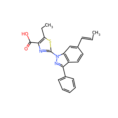 CC=Cc1ccc2c(-c3ccccc3)nn(-c3nc(C(=O)O)c(CC)s3)c2c1